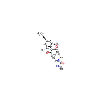 CC#Cc1cc(C)c(C2C(=O)CC3(CCN(C(=O)NCC)CC3)CC2=O)c(C)c1